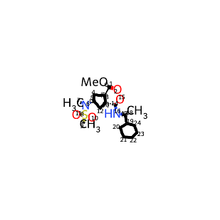 COC(=O)[C@@H]1C[C@@H](N(C)S(C)(=O)=O)C[C@H]1C(=O)N[C@@H](C)C1CCCCC1